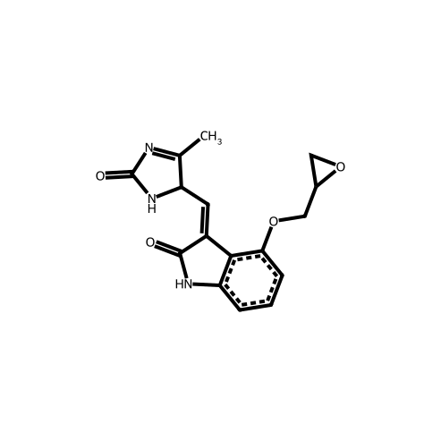 CC1=NC(=O)NC1C=C1C(=O)Nc2cccc(OCC3CO3)c21